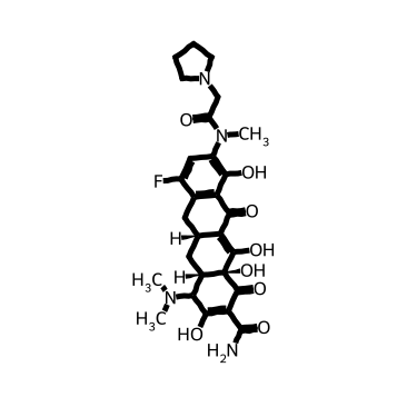 CN(C(=O)CN1CCCC1)c1cc(F)c2c(c1O)C(=O)C1=C(O)[C@]3(O)C(=O)C(C(N)=O)=C(O)C(N(C)C)[C@@H]3C[C@@H]1C2